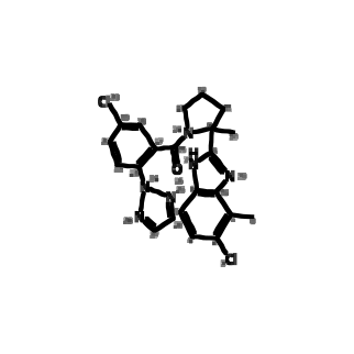 Cc1c(Cl)ccc2[nH]c(C3(C)CCCN3C(=O)c3cc(Cl)ccc3-n3nccn3)nc12